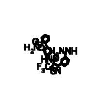 N=C(N)c1cccc(C2=NOC(C(F)(F)F)C2C(=O)Nc2ccc(-c3ccccc3S(N)(=O)=O)cc2)c1